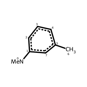 CNc1[c]ccc(C)c1